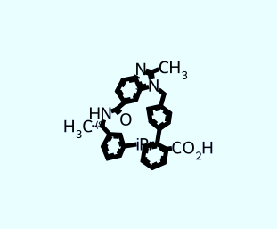 Cc1nc2ccc(C(=O)N[C@@H](C)c3cccc(C(C)C)c3)cc2n1Cc1ccc(-c2ccccc2C(=O)O)cc1